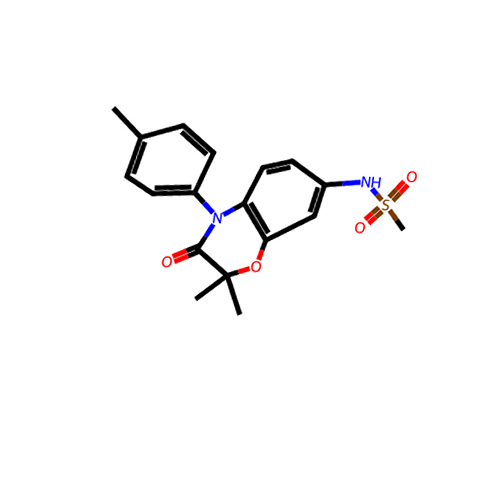 Cc1ccc(N2C(=O)C(C)(C)Oc3cc(NS(C)(=O)=O)ccc32)cc1